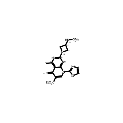 CCOC(=O)c1cn(-c2nccs2)c2nc(N3CC(NOC)C3)nc(C)c2c1=O